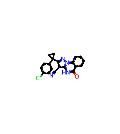 N#Cc1c(C2(c3ccc(Cl)cc3)CC2)nn2c1[nH]c(=O)c1ccccc12